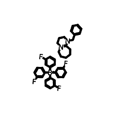 Fc1cccc([B-](c2cccc(F)c2)(c2cccc(F)c2)c2cccc(F)c2)c1.c1ccc(CN2CCC[N+]3=C2CCCCC3)cc1